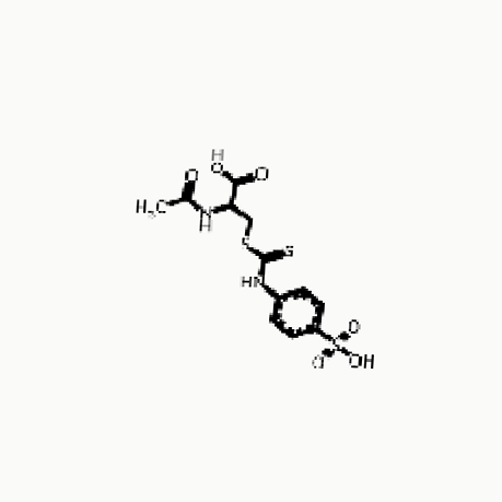 CC(=O)NC(CSC(=S)Nc1ccc(S(=O)(=O)O)cc1)C(=O)O